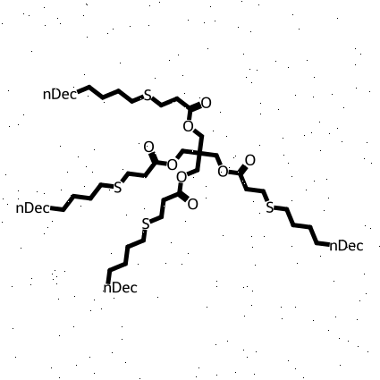 CCCCCCCCCCCCCCSCCC(=O)OCC(COC(=O)CCSCCCCCCCCCCCCCC)(COC(=O)CCSCCCCCCCCCCCCCC)COC(=O)CCSCCCCCCCCCCCCCC